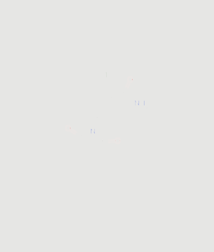 NC(=O)c1cc(N2C(=O)C3=C(CCCC3)C2=O)ccc1Cl